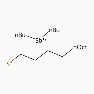 CCCCCCCCCCCC[S-].CCC[CH2][Sb+][CH2]CCC